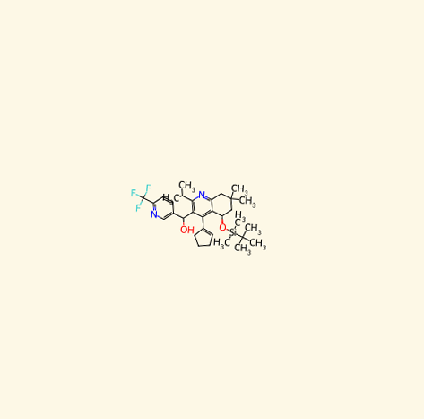 CC(C)c1nc2c(c(C3=CCCC3)c1C(O)c1ccc(C(F)(F)F)nc1)[C@H](O[Si](C)(C)C(C)(C)C)CC(C)(C)C2